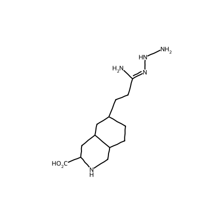 NN/N=C(\N)CCC1CCC2CNC(C(=O)O)CC2C1